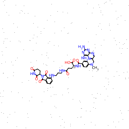 CN(Cc1cnc2nc(N)nc(N)c2n1)c1ccc(C(=O)N[C@@H](CCC(=O)NCCCNc2cccc3c2C(=O)N(C2CCC(=O)NC2=O)C3=O)C(=O)O)cc1